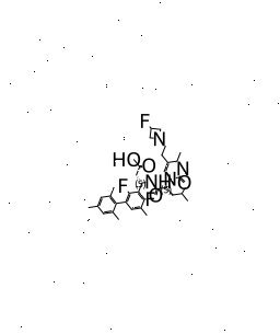 Cc1cc(C)c(-c2cc(C)c(F)c([C@H](CC(=O)O)NC(=O)[C@H](CC(C)C)n3cc(CCN4CC(F)C4)c(C)nc3=O)c2F)c(C)c1